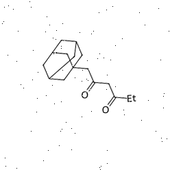 CCC(=O)CC(=O)CC12CC3CC(CC(C3)C1)C2